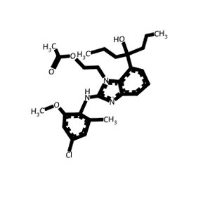 CCCC(O)(CCC)c1cccc2nc(Nc3c(C)cc(Cl)cc3OC)n(CCOC(C)=O)c12